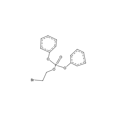 O=P(OCCBr)(Oc1ccccc1)Oc1ccccc1